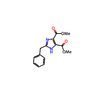 COC(=O)c1nc(Cc2ccccc2)[nH]c1C(=O)OC